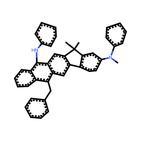 CN(c1ccccc1)c1ccc2c(c1)C(C)(C)c1cc3c(Nc4ccccc4)c4ccccc4c(Cc4ccccc4)c3cc1-2